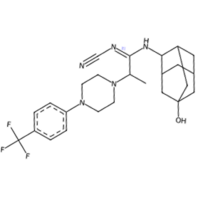 CC(/C(=N\C#N)NC1C2CC3CC1CC(O)(C3)C2)N1CCN(c2ccc(C(F)(F)F)cc2)CC1